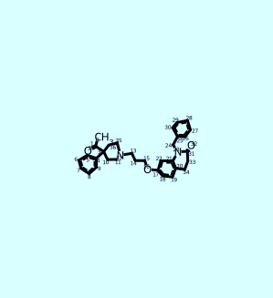 CC(=O)C1(c2ccccc2)CCN(CCCOc2ccc3c(c2)N(Cc2ccccc2)C(=O)CC3)CC1